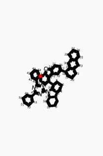 C1=CC2c3cccc(-c4cccc5oc6ccc(-c7cccc8cc9ccccc9cc78)cc6c45)c3N(c3nc(-c4ccccc4)nc(-c4ccccc4)n3)C2C=C1